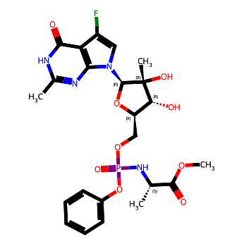 COC(=O)[C@H](C)NP(=O)(OC[C@H]1O[C@@H](n2cc(F)c3c(=O)[nH]c(C)nc32)[C@](C)(O)[C@@H]1O)Oc1ccccc1